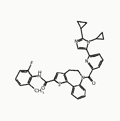 Cc1cccc(F)c1NC(=O)c1cc2c(s1)-c1ccccc1N(C(=O)c1cccc(-c3cnc(C4CC4)n3C3CC3)n1)CC2